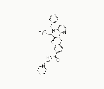 CC=C1C(=O)C(Cc2ccc(C(=O)NCCN3CCCCC3)cc2)c2ncccc2N1Cc1ccccc1